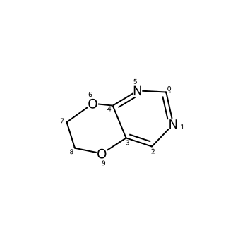 [c]1ncc2c(n1)OCCO2